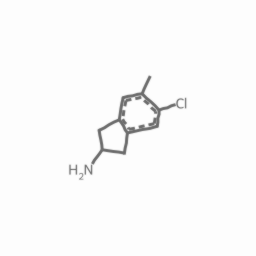 Cc1cc2c(cc1Cl)CC(N)C2